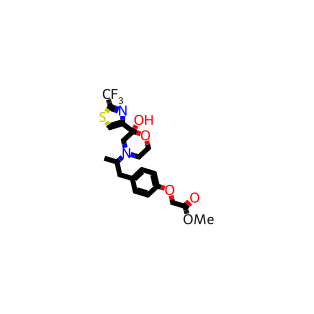 COC(=O)COc1ccc(CC(C)N2CCOC(O)(c3csc(C(F)(F)F)n3)C2)cc1